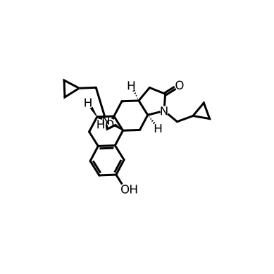 O=C1C[C@@H]2C[C@@]3(O)[C@H]4Cc5ccc(O)cc5[C@@]3(CCN4CC3CC3)C[C@@H]2N1CC1CC1